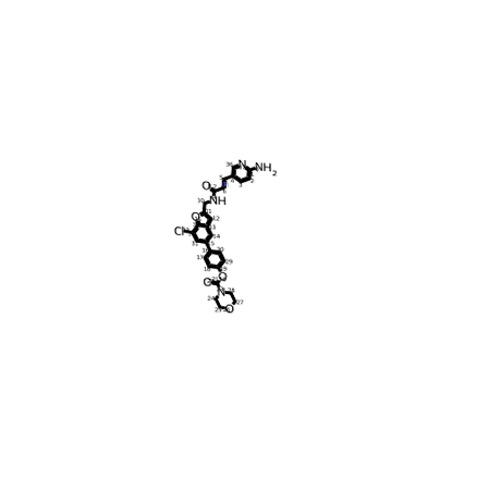 Nc1ccc(/C=C/C(=O)NCc2cc3cc(-c4ccc(OC(=O)N5CCOCC5)cc4)cc(Cl)c3o2)cn1